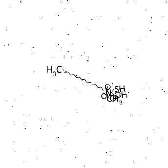 CCCCCCCCC=CCCCCCCCC(=O)N(C(C)=O)[C@@H](CS)C(=O)O